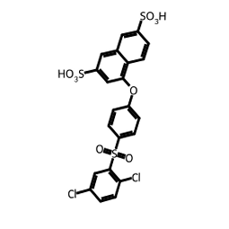 O=S(=O)(O)c1ccc2c(Oc3ccc(S(=O)(=O)c4cc(Cl)ccc4Cl)cc3)cc(S(=O)(=O)O)cc2c1